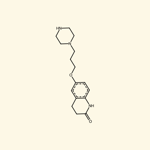 O=C1CCc2cc(OCCCN3CCNCC3)ccc2N1